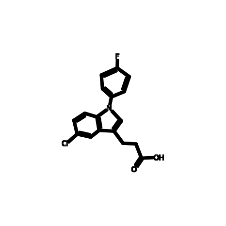 O=C(O)CCc1cn(-c2ccc(F)cc2)c2ccc(Cl)cc12